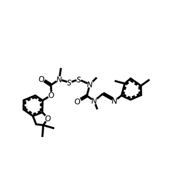 Cc1ccc(N=CN(C)C(=O)N(C)SSN(C)C(=O)Oc2cccc3c2OC(C)(C)C3)c(C)c1